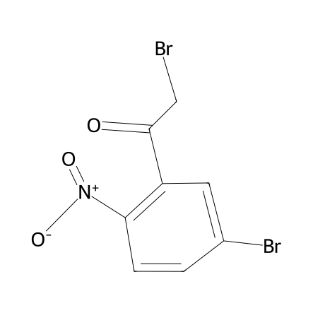 O=C(CBr)c1cc(Br)ccc1[N+](=O)[O-]